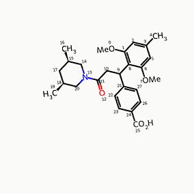 COc1cc(C)cc(OC)c1C(CC(=O)N1C[C@H](C)C[C@H](C)C1)c1ccc(C(=O)O)cc1